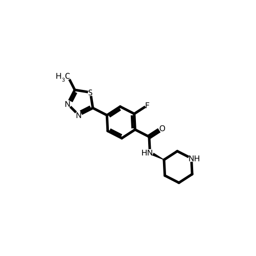 Cc1nnc(-c2ccc(C(=O)N[C@@H]3CCCNC3)c(F)c2)s1